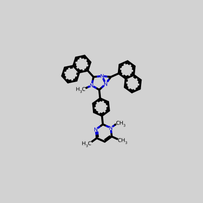 CC1=CC(C)=NC(c2ccc(C3N(C)C(c4cccc5ccccc45)N4C(c5cccc6ccccc56)N34)cc2)N1C